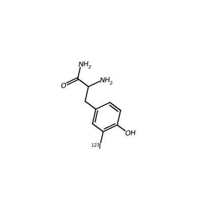 NC(=O)C(N)Cc1ccc(O)c([123I])c1